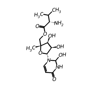 CC(C)[C@H](N)C(=O)OC[C@@]1(C)O[C@@H](N2C=CC(=O)NC2O)[C@H](O)[C@@H]1O